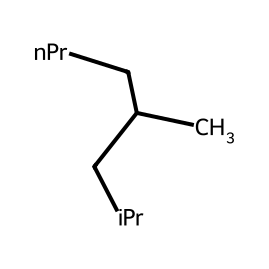 CCCCC(C)CC(C)C